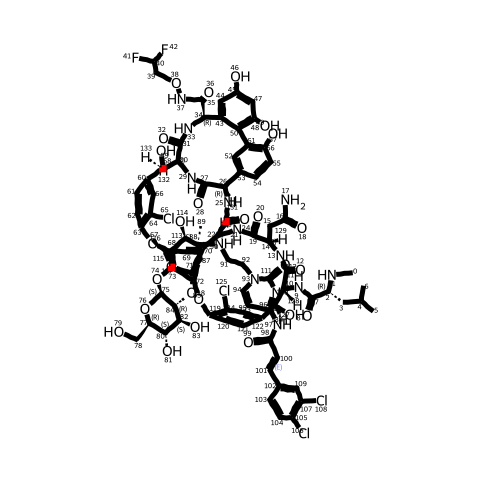 CN[C@H](CC(C)C)C(=O)N[C@H]1C(=O)N[C@@H](CC(N)=O)C(=O)N[C@H]2C(=O)N[C@H]3C(=O)N[C@H](C(=O)N[C@@H](C(=O)NOCC(F)F)c4cc(O)cc(O)c4-c4cc3ccc4O)[C@H](O)c3ccc(c(Cl)c3)Oc3cc2cc(c3O[C@@H]2O[C@H](CO)[C@@H](O)[C@H](O)[C@H]2O[C@H]2C[C@](C)(NCCn3ccc(NC(=O)/C=C/c4ccc(Cl)c(Cl)c4)nc3=O)[C@H](O)[C@H](C)O2)Oc2ccc(cc2Cl)[C@H]1O